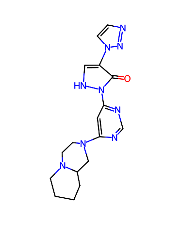 O=c1c(-n2ccnn2)c[nH]n1-c1cc(N2CCN3CCCCC3C2)ncn1